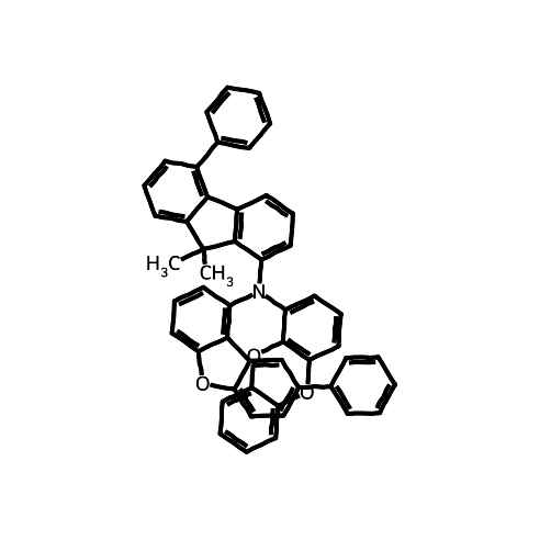 CC1(C)c2cccc(-c3ccccc3)c2-c2cccc(N(c3cccc4c3Oc3ccccc3O4)c3cccc4oc5ccc(-c6ccccc6)cc5c34)c21